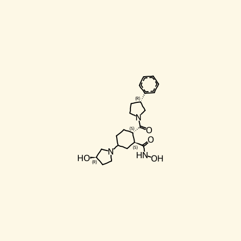 O=C(NO)[C@H]1CC(N2CC[C@@H](O)C2)CC[C@@H]1C(=O)N1CC[C@H](c2ccccc2)C1